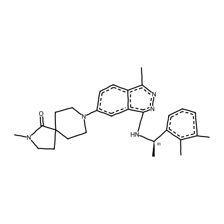 Cc1cccc([C@@H](C)Nc2nnc(C)c3ccc(N4CCC5(CCN(C)C5=O)CC4)cc23)c1C